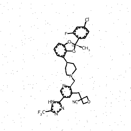 C[C@]1(c2ccc(Cl)cc2F)Oc2cccc(C3CCN(Cc4ncc(-c5nnc(C(F)(F)F)[nH]5)cc4CC4(C#N)COC4)CC3)c2O1